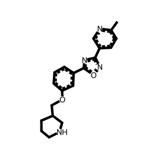 Cc1ccc(-c2noc(-c3cccc(OCC4CCCNC4)c3)n2)cn1